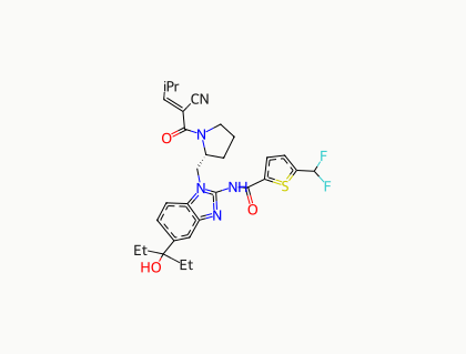 CCC(O)(CC)c1ccc2c(c1)nc(NC(=O)c1ccc(C(F)F)s1)n2C[C@H]1CCCN1C(=O)/C(C#N)=C/C(C)C